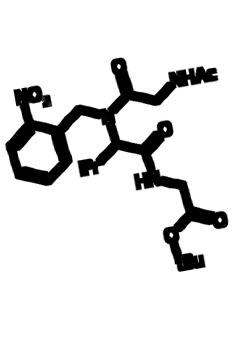 CC(=O)NCC(=O)N(Cc1ccccc1[N+](=O)[O-])C(C(=O)NCC(=O)OC(C)(C)C)C(C)C